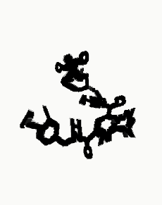 Cc1cc(CNC(=O)c2cc(C(=O)NC[C@@H]3CCN(S(C)(=O)=O)C3)n3ncnc3n2)ccc1F